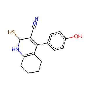 N#CC1=C(c2ccc(O)cc2)C2=C(CCCC2)NC1S